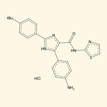 CC(C)(C)c1ccc(-c2nc(C(=O)Nc3nccs3)c(-c3ccc(N)cc3)[nH]2)cc1.Cl